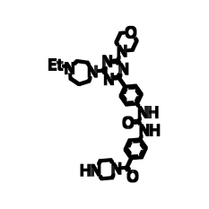 CCN1CCCN(c2nc(-c3ccc(NC(=O)Nc4ccc(C(=O)N5CCNCC5)cc4)cc3)nc(N3CCOCC3)n2)CC1